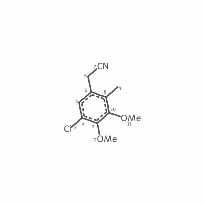 COc1c(Cl)cc(CC#N)c(C)c1OC